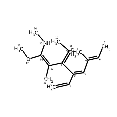 C=C/C(=C/C(C)=C/C)C(=C(C)C)/C(C)=C(\NC)OC